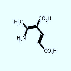 CC(N)=C(/C=C/C(=O)O)C(=O)O